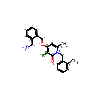 Cc1ccccc1Cn1c(C)cc(OCc2ccccc2CN)c(Cl)c1=O